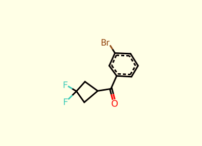 O=C(c1cccc(Br)c1)C1CC(F)(F)C1